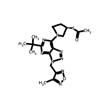 CC(=O)S[C@@H]1CCN(c2nc(C(C)(C)C)nc3c2nnn3Cc2nonc2C)C1